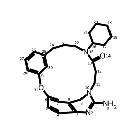 NC1=Nc2ccc3cc2CN1CCC(=O)N(C1CCCCC1)CCCc1cccc(c1)O3